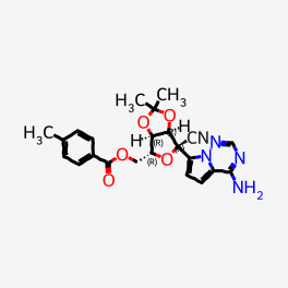 Cc1ccc(C(=O)OC[C@H]2O[C@@](C#N)(c3ccc4c(N)ncnn34)[C@@H]3OC(C)(C)O[C@@H]32)cc1